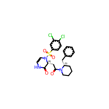 O=C1NC=CN(S(=O)(=O)c2ccc(Cl)c(Cl)c2)[C@@H]1CC(=O)N1CCCC[C@H]1Cc1ccccc1